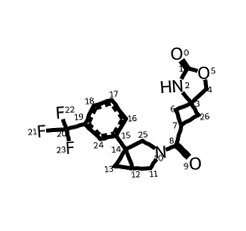 O=C1NC2(CO1)CC(C(=O)N1CC3CC3(c3cccc(C(F)(F)F)c3)C1)C2